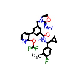 Cc1cc([C@@H](NC(=O)c2cc(Cn3ccoc3=N)cc(-c3cccnc3OC(F)F)c2)C2CC2)ccc1F